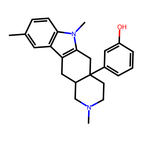 Cc1ccc2c(c1)c1c(n2C)CC2(c3cccc(O)c3)CCN(C)CC2C1